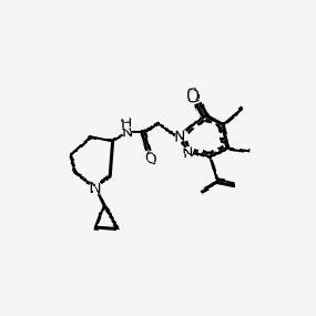 C=C(C)c1nn(CC(=O)NC2CCCN(C3CC3)C2)c(=O)c(C)c1C